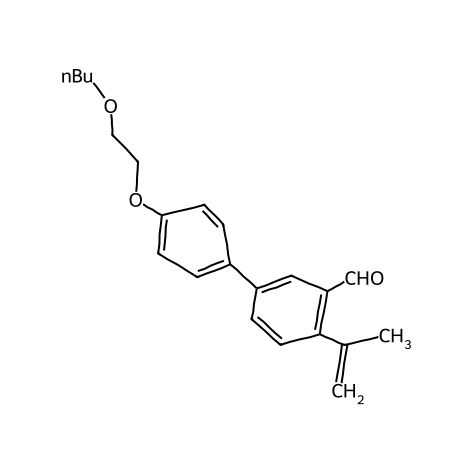 C=C(C)c1ccc(-c2ccc(OCCOCCCC)cc2)cc1C=O